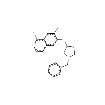 Cc1cc2c(N)nccc2cc1OC1CCN(Cc2ccccc2)C1